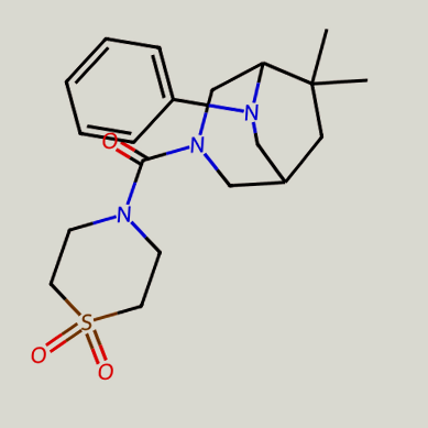 CC1(C)CC2CN(C(=O)N3CCS(=O)(=O)CC3)CC1N(c1ccccc1)C2